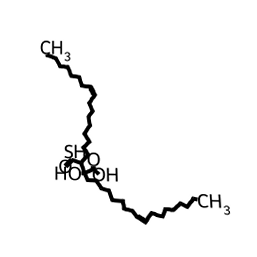 CCCCCCCC/C=C\CCCCCCCCC(C(=O)S)C(O)(CCCCCCCC/C=C\CCCCCCCC)C(=O)O